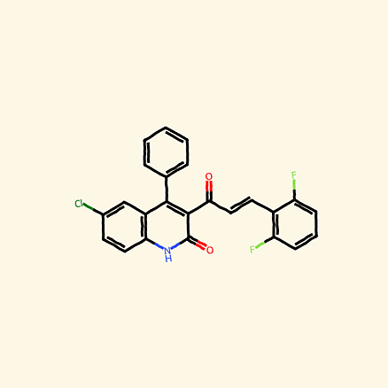 O=C(/C=C/c1c(F)cccc1F)c1c(-c2ccccc2)c2cc(Cl)ccc2[nH]c1=O